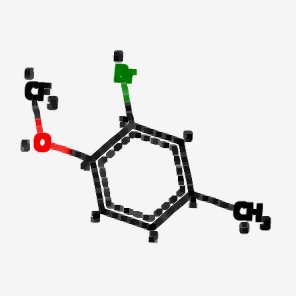 Cc1ccc(OC(F)(F)F)c(Br)c1